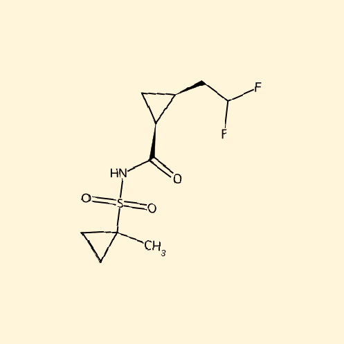 CC1(S(=O)(=O)NC(=O)[C@H]2C[C@H]2CC(F)F)CC1